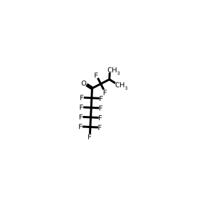 CC(C)C(F)(F)C(=O)C(F)(F)C(F)(F)C(F)(F)C(F)(F)F